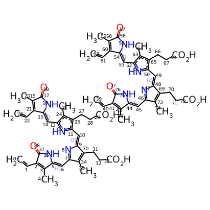 C=CC1=C(C)/C(=C/C2=NC(=C\c3[nH]c(/C=C4\NC(=O)C(C)=C4C=C)c(C)c3CCC(=O)O)/C(CCC(=O)O)=C2C)NC1=O.C=CC1=C(C)/C(=C/C2=NC(=C\c3[nH]c(/C=C4\NC(=O)C(C)=C4C=C)c(C)c3CCC(=O)O)/C(CCC(=O)O)=C2C)NC1=O